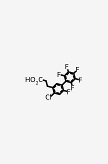 O=C(O)CCc1cc(-c2c(F)c(F)c(F)c(F)c2F)c(F)cc1Cl